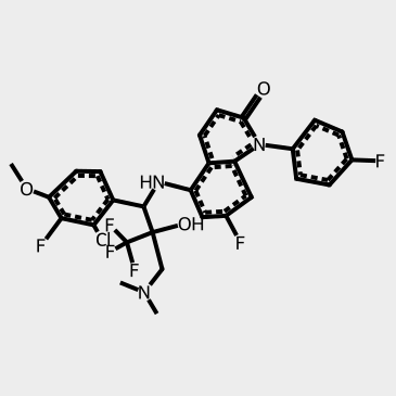 COc1ccc(C(Nc2cc(F)cc3c2ccc(=O)n3-c2ccc(F)cc2)C(O)(CN(C)C)C(F)(F)F)c(Cl)c1F